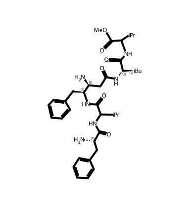 CC[C@H](C)[C@H](NC(=O)C[C@H](N)[C@H](Cc1ccccc1)NC(=O)C(NC(=O)[C@@H](N)Cc1ccccc1)C(C)C)C(=O)NC(C(=O)OC)C(C)C